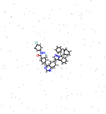 O=C(Nc1ccc(F)cc1)c1ccc(-c2ncnc3ccc(-c4cnn(C(c5ccccc5)(c5ccccc5)c5ccccc5)c4)cc23)cc1F